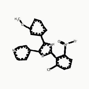 COc1cccc(-c2[nH]c(-c3c(Cl)cccc3[N+](=O)[O-])nc2-c2ccncc2)c1